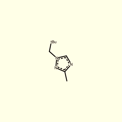 Cc1ncn(CC(C)(C)C)n1